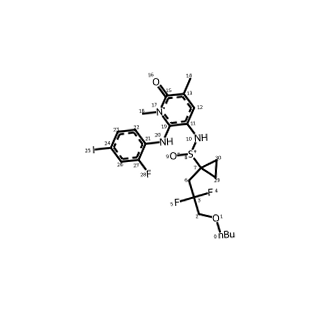 CCCCOCC(F)(F)CC1([S+]([O-])Nc2cc(C)c(=O)n(C)c2Nc2ccc(I)cc2F)CC1